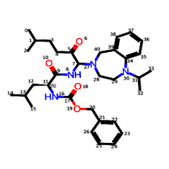 CC(C)CCC(=O)C(NC(=O)[C@H](CC(C)C)NC(=O)OCc1ccccc1)N1CCN(C(C)C)c2ccccc2C1